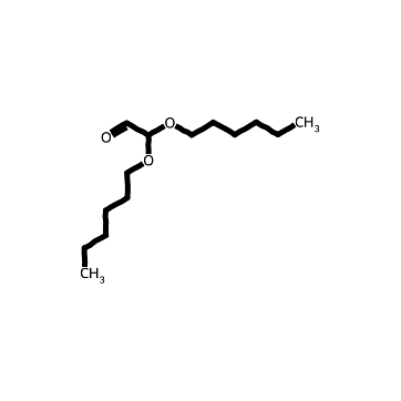 CCCCCCOC(C=O)OCCCCCC